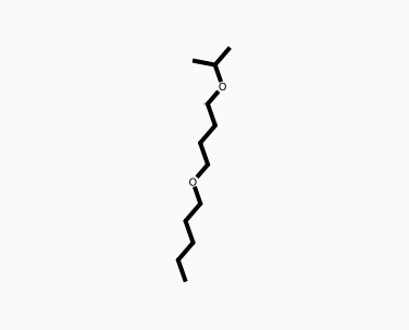 CCCCCOCCC[CH]OC(C)C